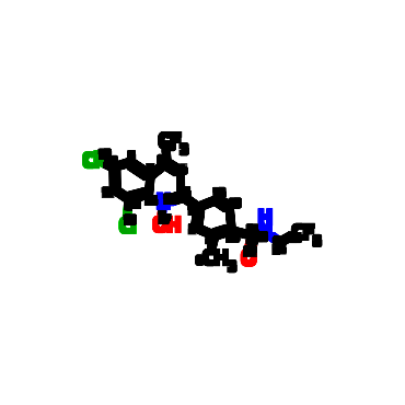 Cc1cc(C(C=C(c2cc(Cl)cc(Cl)c2)C(F)(F)F)=NO)ccc1C(=O)NCC(F)(F)F